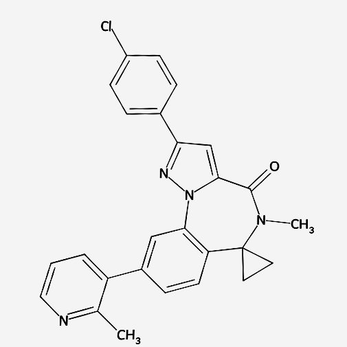 Cc1ncccc1-c1ccc2c(c1)-n1nc(-c3ccc(Cl)cc3)cc1C(=O)N(C)C21CC1